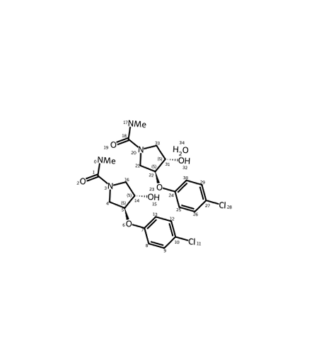 CNC(=O)N1C[C@H](Oc2ccc(Cl)cc2)[C@@H](O)C1.CNC(=O)N1C[C@H](Oc2ccc(Cl)cc2)[C@@H](O)C1.O